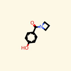 O=C(c1ccc(O)cc1)N1CCC1